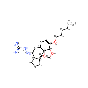 N=C(N)N/N=C1\CC2CC=C(OCCCCC(=O)O)C3OCOC23C=C2CCCC21